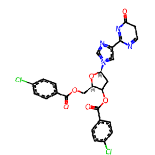 O=C1CC=NC(c2cn([C@H]3CC(OC(=O)c4ccc(Cl)cc4)[C@@H](COC(=O)c4ccc(Cl)cc4)O3)cn2)=N1